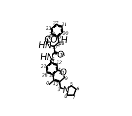 CC1=C(CN2CCCC2)COc2cc(NC(=O)C(Cc3ccccc3)NC(=O)O)ccc21